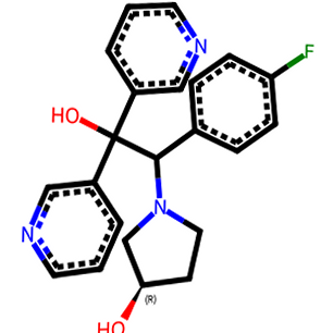 O[C@@H]1CCN(C(c2ccc(F)cc2)C(O)(c2cccnc2)c2cccnc2)C1